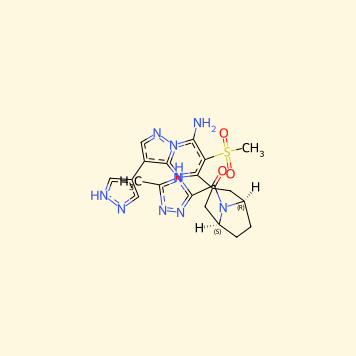 Cc1nnc(C(=O)N2[C@@H]3CC[C@H]2CC(c2nc4c(-c5cn[nH]c5)cnn4c(N)c2S(C)(=O)=O)C3)[nH]1